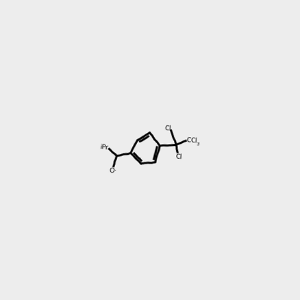 CC(C)C([O])c1ccc(C(Cl)(Cl)C(Cl)(Cl)Cl)cc1